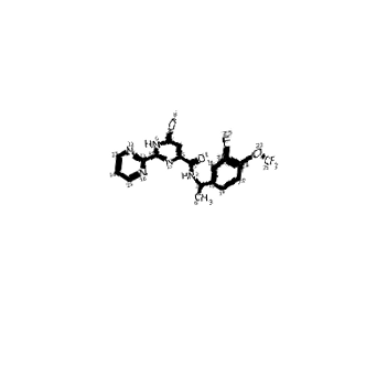 CC(NC(=O)c1cc(=O)[nH]c(-c2ncccn2)n1)c1ccc(OC(F)(F)F)c(F)c1